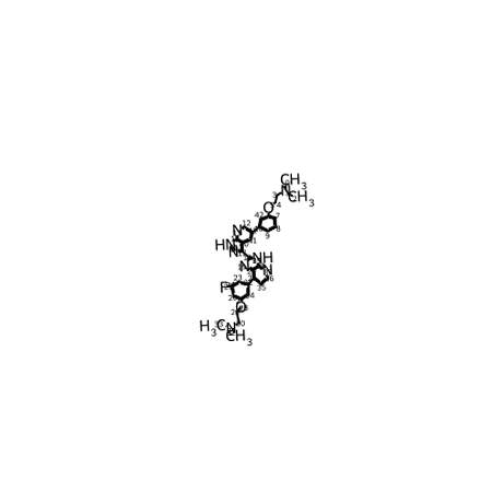 CN(C)CCOc1cccc(-c2cnc3[nH]nc(-c4nc5c(-c6cc(F)cc(OCCN(C)C)c6)ccnc5[nH]4)c3c2)c1